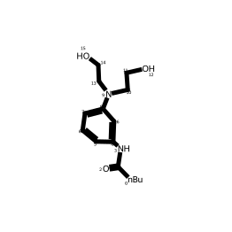 CCCCC(=O)Nc1cccc(N(CCO)CCO)c1